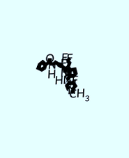 CN1CC[C@@H](Nc2cccc3c(CC(F)(F)F)c(C#CCNC(=O)c4ccccc4)nn23)[C@@H](F)C1